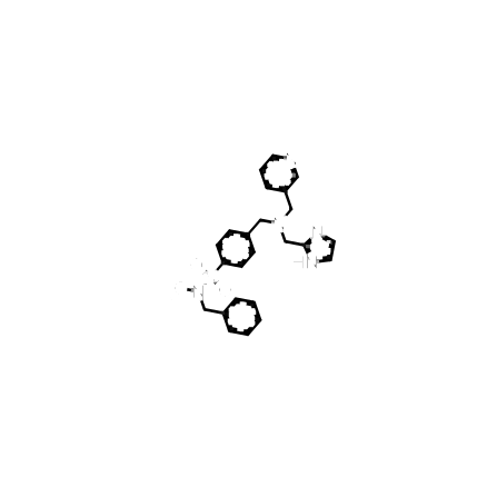 CN(Cc1ccccc1)S(=O)(=O)c1ccc(CN(Cc2cccnc2)Cc2ncc[nH]2)cc1